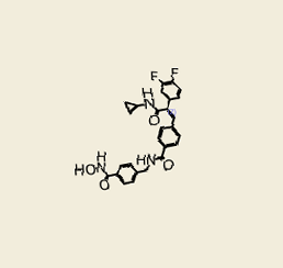 O=C(NC1CC1)/C(=C\c1ccc(C(=O)NCc2ccc(C(=O)NO)cc2)cc1)c1ccc(F)c(F)c1